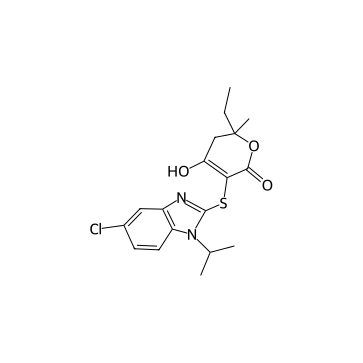 CCC1(C)CC(O)=C(Sc2nc3cc(Cl)ccc3n2C(C)C)C(=O)O1